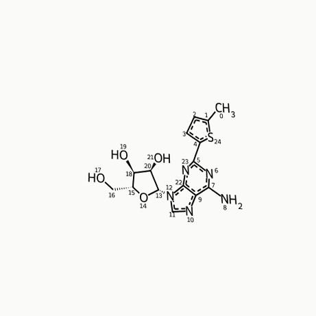 Cc1ccc(-c2nc(N)c3ncn([C@@H]4O[C@H](CO)[C@@H](O)[C@H]4O)c3n2)s1